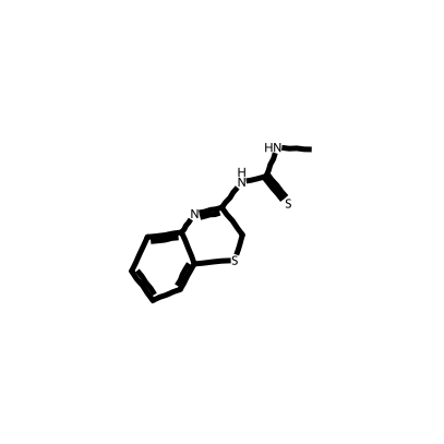 CNC(=S)NC1=Nc2ccccc2SC1